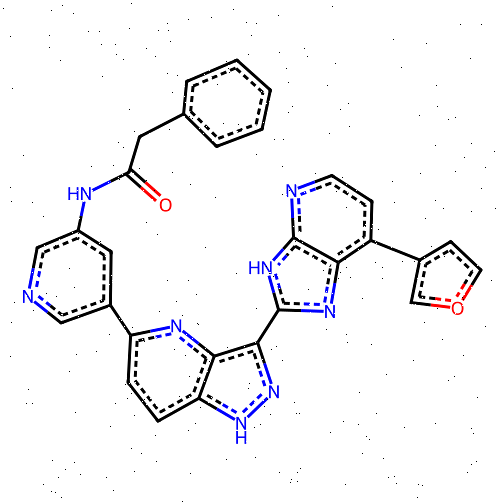 O=C(Cc1ccccc1)Nc1cncc(-c2ccc3[nH]nc(-c4nc5c(-c6ccoc6)ccnc5[nH]4)c3n2)c1